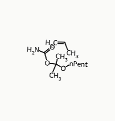 C=CC.CCCCCOC(C)(C)OC(N)=O